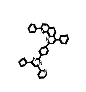 c1ccc(-c2cc(-c3ccccn3)nc(-c3ccc(-c4cc(-c5ccccc5)c5ccc6ccc(-c7ccccc7)nc6c5n4)cc3)n2)cc1